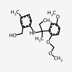 CCC(C)(Pc1ccc(C)cc1CO)c1cc(OC)ccc1OCOC